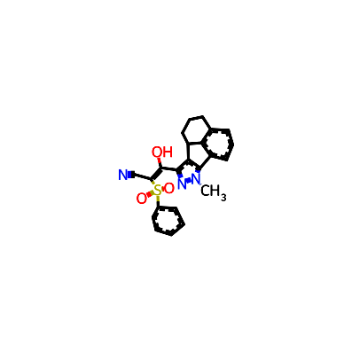 Cn1nc(C(O)=C(C#N)S(=O)(=O)c2ccccc2)c2c1-c1cccc3c1C2CCC3